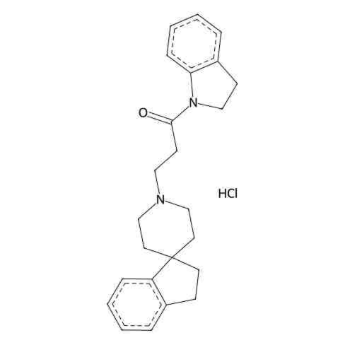 Cl.O=C(CCN1CCC2(CCc3ccccc32)CC1)N1CCc2ccccc21